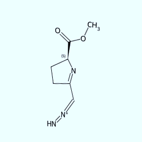 COC(=O)[C@@H]1CCC(C=[N+]=N)=N1